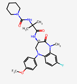 CN1C(=O)[C@H](NC(=O)C(C)(C)NC(=O)N2CCCCC2)CN(c2ccc(OC(F)(F)F)cc2)c2ccc(F)cc21